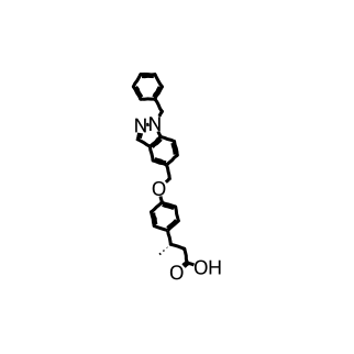 C[C@@H](CC(=O)O)c1ccc(OCc2ccc3c(cnn3Cc3ccccc3)c2)cc1